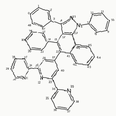 c1ccc(-c2nn(-c3ccccc3)c3c2c(-c2ccccc2)c(-c2cc(-c4ccccn4)nc(-c4ccccn4)c2)c2ccccc23)cc1